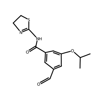 CC(C)Oc1cc(C=O)cc(C(=O)NC2=NCCS2)c1